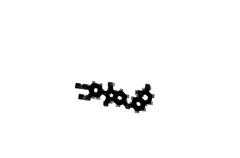 COc1ccc(N2C(=O)c3ccc(Oc4ccc5c(c4)NC(=O)CC5)cc3C2=O)cc1OC